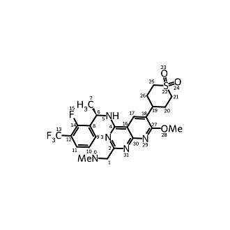 CNCc1nc(N[C@H](C)c2cccc(C(F)(F)F)c2F)c2cc(C3CCS(=O)(=O)CC3)c(OC)nc2n1